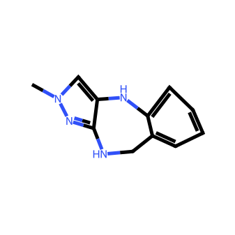 Cn1cc2c(n1)NCc1ccccc1N2